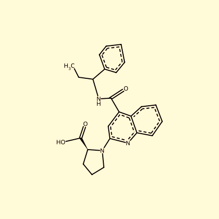 CCC(NC(=O)c1cc(N2CCC[C@H]2C(=O)O)nc2ccccc12)c1ccccc1